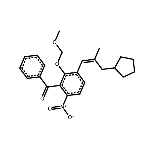 COCOc1c(C=C(C)CC2CCCC2)ccc([N+](=O)[O-])c1C(=O)c1ccccc1